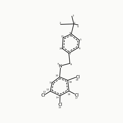 CC(C)(C)c1ccc(C[N]c2cc(Cl)c(Cl)c(Cl)c2Cl)cc1